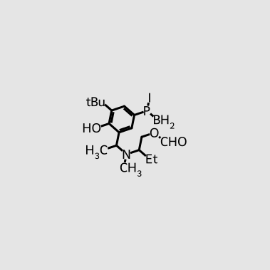 BP(I)c1cc(C(C)N(C)C(CC)COC=O)c(O)c(C(C)(C)C)c1